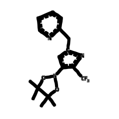 CC1(C)OB(c2cn(Cc3ccccn3)nc2C(F)(F)F)OC1(C)C